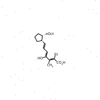 CCCCCCCC[C@H]1CCC[C@@H]1C=CC=C(O)C(C)=C(CC)C(=O)O